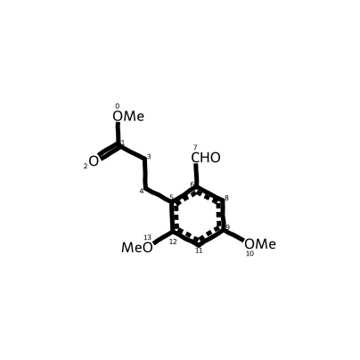 COC(=O)CCc1c(C=O)cc(OC)cc1OC